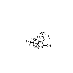 Cc1ccc(C(C)(C)C(F)(F)F)cc1CC(C)(C)C(F)(F)F